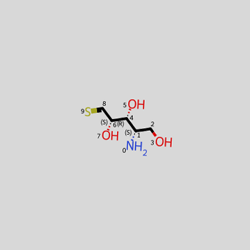 N[C@@H](CO)[C@@H](O)[C@H](O)C=S